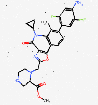 COC(=O)C1CNCCN1Cc1nc2c(=O)n(C3CC3)c3c(C)c(-c4cc(F)c(N)cc4F)ccc3c2o1